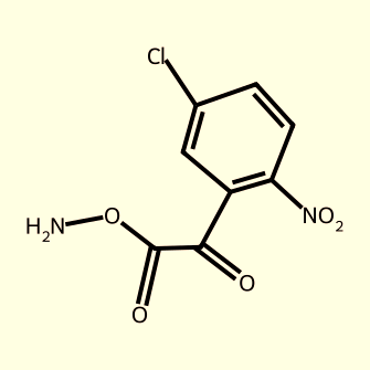 NOC(=O)C(=O)c1cc(Cl)ccc1[N+](=O)[O-]